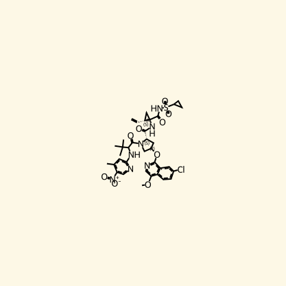 C=C[C@@H]1C[C@]1(NC(=O)[C@@H]1C[C@@H](Oc2ncc(OC)c3ccc(Cl)cc23)CN1C(=O)C(Nc1cc(C)c([N+](=O)[O-])cn1)C(C)(C)C)C(=O)NS(=O)(=O)C1CC1